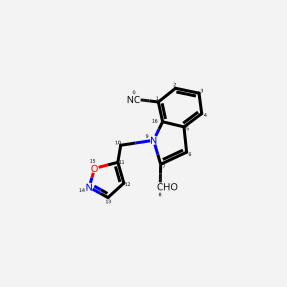 N#Cc1cccc2cc(C=O)n(Cc3ccno3)c12